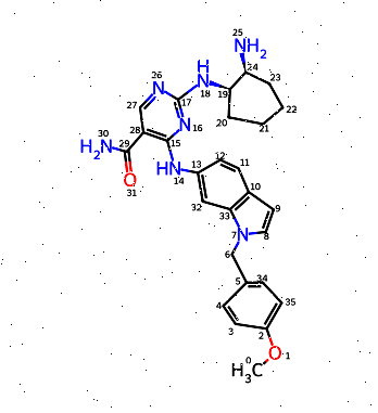 COc1ccc(Cn2ccc3ccc(Nc4nc(N[C@@H]5CCCC[C@@H]5N)ncc4C(N)=O)cc32)cc1